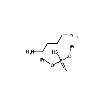 CC(C)OP(=S)(S)OC(C)C.NCCCCN